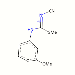 COc1cccc(N/C(=N/C#N)SC)c1